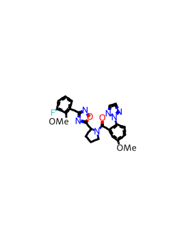 COc1ccc(-n2nccn2)c(C(=O)N2CCCC2c2nc(-c3cccc(F)c3OC)no2)c1